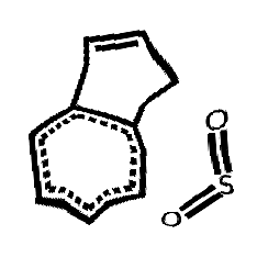 C1=Cc2ccccc2C1.O=S=O